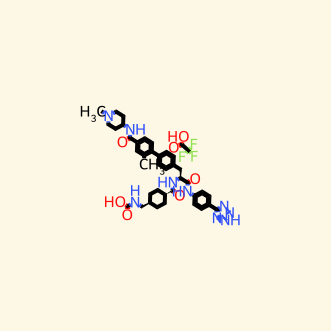 Cc1cc(C(=O)NC2CCN(C)CC2)ccc1-c1ccc(C[C@H](NC(=O)[C@H]2CC[C@H](CNC(=O)O)CC2)C(=O)Nc2ccc(-c3nn[nH]n3)cc2)cc1.O=C(O)C(F)(F)F